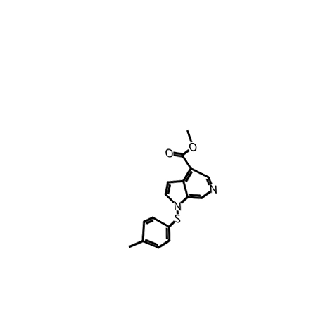 COC(=O)c1cncc2c1ccn2Sc1ccc(C)cc1